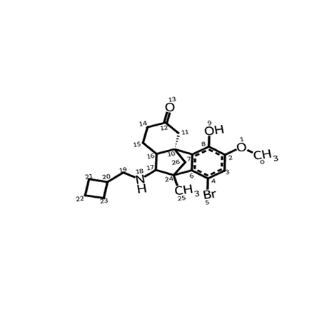 COc1cc(Br)c2c(c1O)[C@]13CC(=O)CCC1C(NCC1CCC1)C2(C)C3